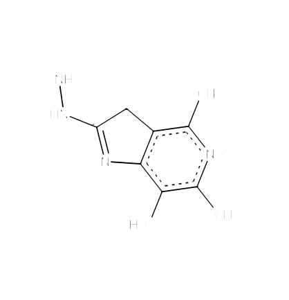 Cc1nc(C)c2c(c1C)N=C(NN)C2